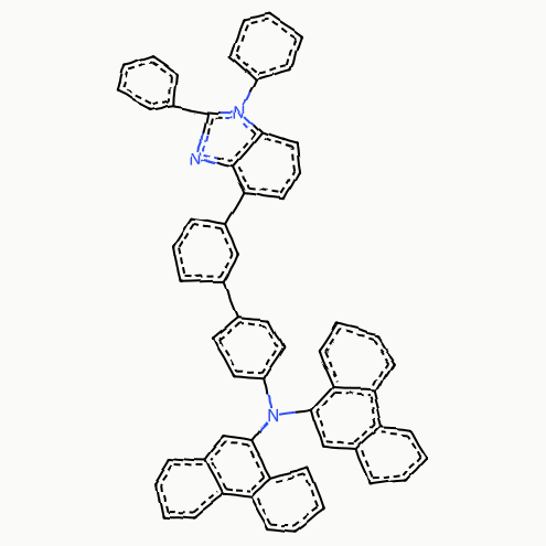 c1ccc(-c2nc3c(-c4cccc(-c5ccc(N(c6cc7ccccc7c7ccccc67)c6cc7ccccc7c7ccccc67)cc5)c4)cccc3n2-c2ccccc2)cc1